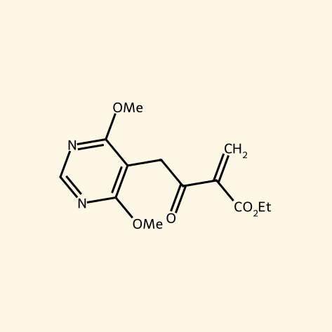 C=C(C(=O)Cc1c(OC)ncnc1OC)C(=O)OCC